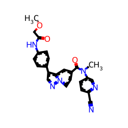 COCC(=O)Nc1ccc(-c2cnn3ccc(C(=O)N(C)c4ccc(C#N)nc4)cc23)cc1